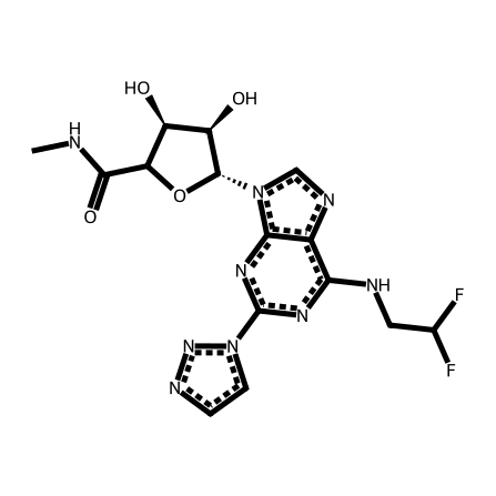 CNC(=O)C1O[C@@H](n2cnc3c(NCC(F)F)nc(-n4ccnn4)nc32)[C@H](O)[C@@H]1O